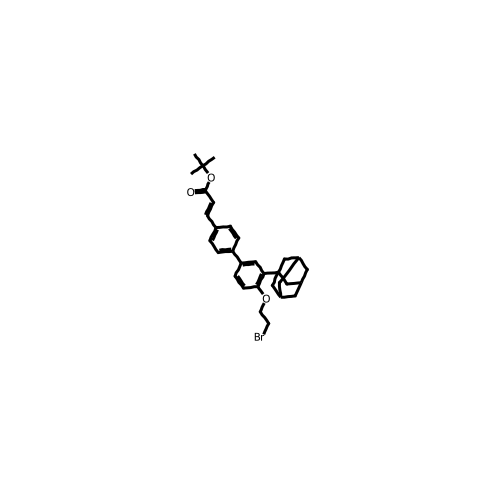 CC(C)(C)OC(=O)C=Cc1ccc(-c2ccc(OCCBr)c(C34CC5CC(CC(C5)C3)C4)c2)cc1